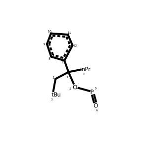 CCCC(CC(C)(C)C)(OP=O)c1ccccc1